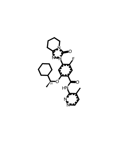 Cc1ccnnc1NC(=O)c1cc(F)c(-n2nc3n(c2=O)CCCC3)cc1O[C@@H](C)C1CCCCC1